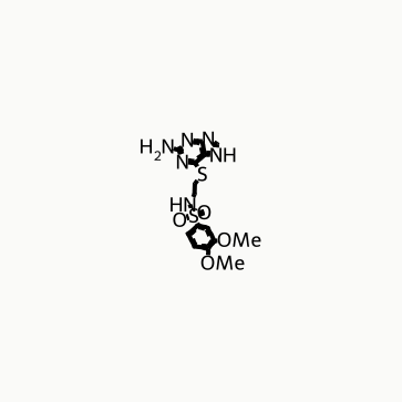 COc1ccc(S(=O)(=O)NCCSc2nc(N)nc3nc[nH]c23)cc1OC